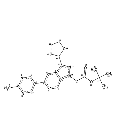 Cc1ncc(-c2ccc3c(c2)c(C2OCCO2)nn3CC(=O)OC(C)(C)C)cn1